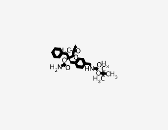 CC(C)(C)OC(=O)NCc1ccc(C[C@](Cc2ccccc2)(OC(N)=O)C(=O)[C@@]2(C)CO2)cc1